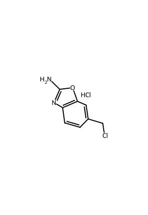 Cl.Nc1nc2ccc(CCl)cc2o1